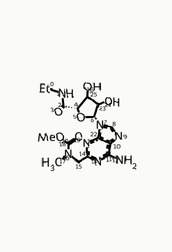 CCNC(=O)[C@H]1O[C@@H](n2cnc3c(N)nc(CN(C)C(=O)OC)nc32)C(O)C1O